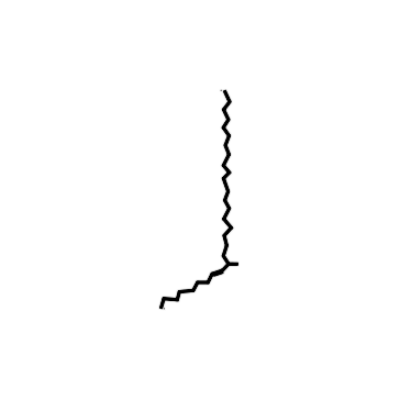 [CH2]CCCCCC/C=C/C(C)CCCCCCCCCCCCCCCCCC[CH2]